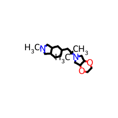 CN1CC2CCC(CC(C)(C)N3CC4OCCOC4C3)CC2C1